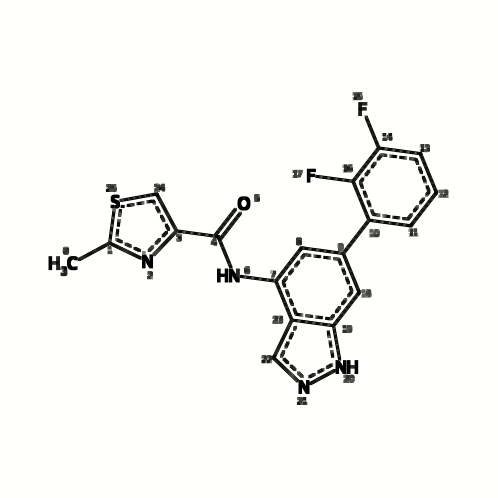 Cc1nc(C(=O)Nc2cc(-c3cccc(F)c3F)cc3[nH]ncc23)cs1